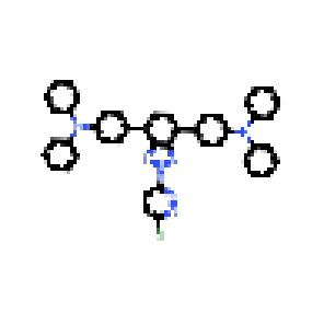 Clc1ccc(-n2nc3c(-c4ccc(N(c5ccccc5)c5ccccc5)cc4)ccc(-c4ccc(N(c5ccccc5)c5ccccc5)cc4)c3n2)nn1